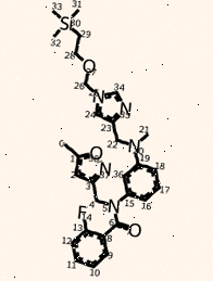 Cc1cc(CN(C(=O)c2ccccc2F)c2cccc(N(C)Cc3cn(COCC[Si](C)(C)C)cn3)c2)no1